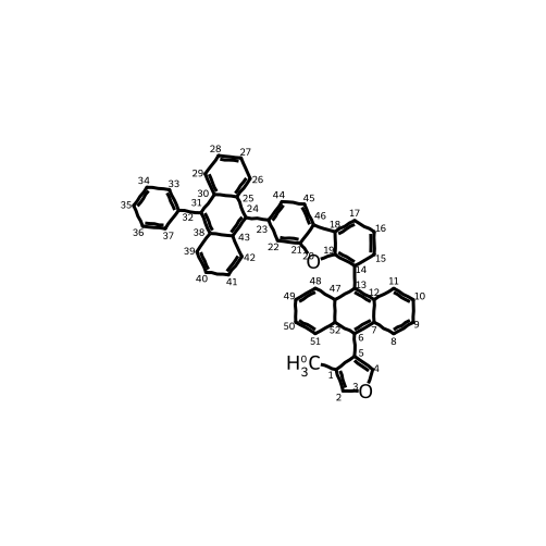 Cc1cocc1C1=c2ccccc2=C(c2cccc3c2oc2cc(-c4c5ccccc5c(-c5ccccc5)c5ccccc45)ccc23)C2C=CC=CC12